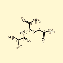 CC(C)[C@@H](N)C(=O)N[C@@H](SCC(N)=O)C(N)=O